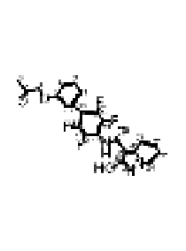 CC(=O)COc1cccc(-c2c(F)c(F)c(NC(=O)c3c(O)nn4ccccc34)c(F)c2F)c1